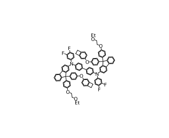 CCOCCOc1ccc(C2(c3ccc(Oc4ccc5c(c4)CC5)cc3)c3ccccc3-c3ccc(N(c4ccc(-c5ccc(N(c6ccc(F)c(F)c6)c6ccc7c(c6)C(c6ccc(OCCOCC)cc6)(c6ccc(Oc8ccc9c(c8)CC9)cc6)c6ccccc6-7)cc5)cc4)c4ccc(F)c(F)c4)cc32)cc1